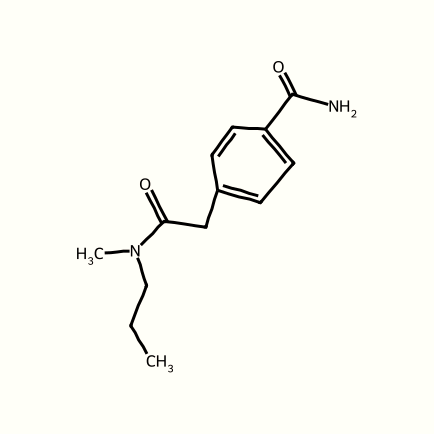 CCCN(C)C(=O)Cc1ccc(C(N)=O)cc1